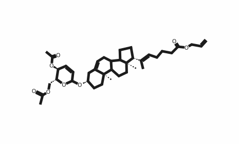 C=CCOC(=O)CCC/C=C(\C)[C@H]1CCC2C3CC=C4C[C@@H](OC5C=C[C@H](OC(C)=O)[C@@H](COC(C)=O)O5)CC[C@]4(C)C3CC[C@@]21C